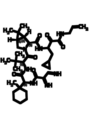 C=CCNC(=O)C(=O)C(CC1CC1)NC(=O)[C@@H]1[C@@H]2[C@H](CN1C(=O)[C@@H](NC(=O)[C@@H](NC(=O)C(=N)C=N)C1(C)CCCCC1)C(C)(C)C)C2(C)C